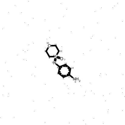 Nc1ccc(N=S2(=O)CCOCC2)cc1